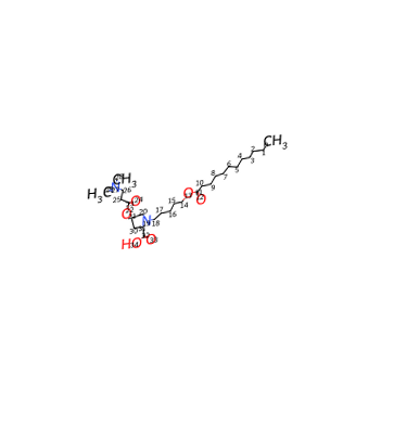 CCCCCCCCCCCC(=O)OCCCCCN1CC(OC(=O)CCN(C)C)CC1C(=O)O